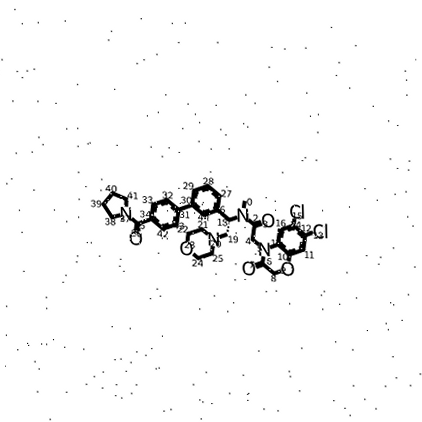 CN(C(=O)CN1C(=O)COc2cc(Cl)c(Cl)cc21)[C@H](CN1CCOCC1)c1cccc(-c2ccc(C(=O)N3CCCC3)cc2)c1